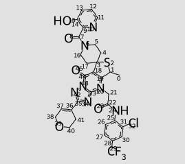 CC1SC2(CCN(C(=O)c3ncccc3O)CC2)c2c1n(CC(=O)Nc1ccc(C(F)(F)F)cc1Cl)c1nc(C3=CCOCC3)nn1c2=O